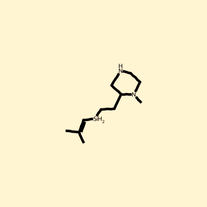 CC(C)=C[SiH2]CCC1CNCCN1C